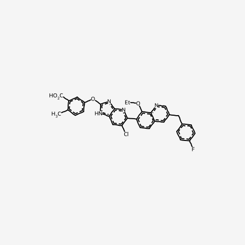 CCOc1c(-c2nc3nc(Oc4ccc(C)c(C(=O)O)c4)[nH]c3cc2Cl)ccc2cc(Cc3ccc(F)cc3)cnc12